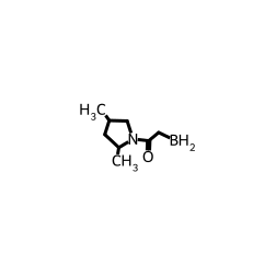 BCC(=O)N1CC(C)CC1C